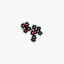 c1ccc(-c2ccccc2-c2ccccc2-c2ccccc2N(c2ccc(-c3ccc4ccccc4c3)cc2)c2ccc3c(c2)-c2ccccc2C32c3ccccc3Oc3ccccc32)cc1